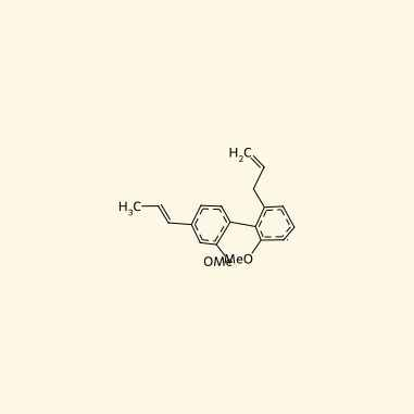 C=CCc1cc[c]c(OC)c1-c1ccc(C=CC)cc1OC